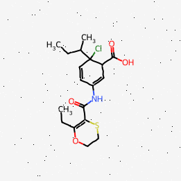 CCC1=C(C(=O)NC2=CC(C(=O)O)C(Cl)(C(C)CC)C=C2)SCCO1